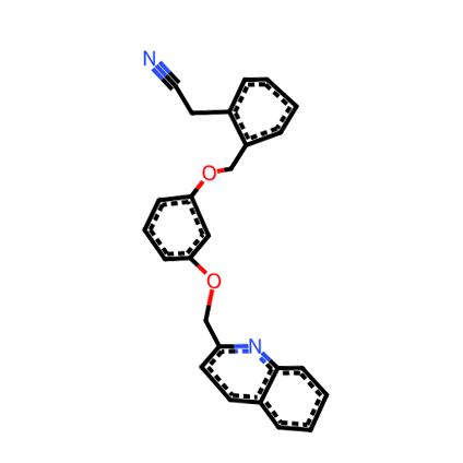 N#CCc1ccccc1COc1cccc(OCc2ccc3ccccc3n2)c1